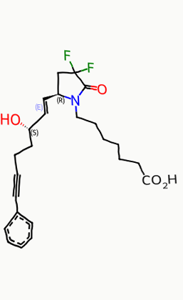 O=C(O)CCCCCCN1C(=O)C(F)(F)C[C@@H]1/C=C/[C@@H](O)CCC#Cc1ccccc1